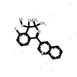 CCOC1(C)c2c(F)cccc2C(c2cnc3ccccc3c2)=NC1(C)C